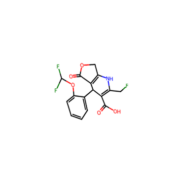 O=C(O)C1=C(CF)NC2=C(C(=O)OC2)C1c1ccccc1OC(F)F